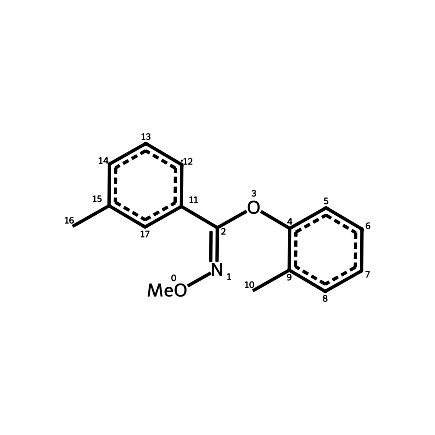 CO/N=C(/Oc1ccccc1C)c1[c]ccc(C)c1